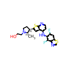 C[C@H]1[C@H](c2cc3c(Nc4c(F)cc5scnc5c4F)ccnc3s2)CCN1CCO